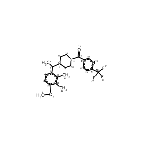 COc1ccc(C(C)N2CCN(C(=O)c3ccc(C(F)(F)F)nc3)CC2)c(C)c1C